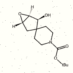 CC(C)(C)OC(=O)N1CCC2(CC1)C[C@@H]1O[C@H]1[C@H]2O